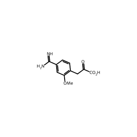 COc1cc(C(=N)N)ccc1CC(=O)C(=O)O